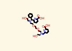 O=C(O)c1cccc(CN(CCO)CCOCCOCCN(CCO)C(c2ccccc2)c2cccc(C(=O)O)n2)n1